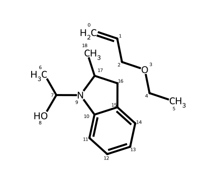 C=CCOCC.CC(O)N1c2ccccc2CC1C